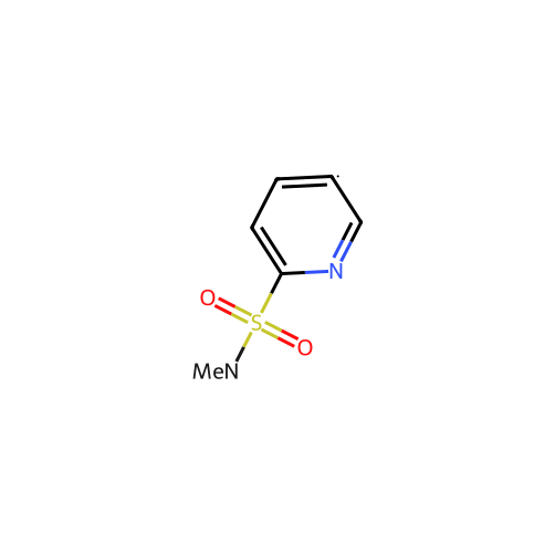 CNS(=O)(=O)c1cc[c]cn1